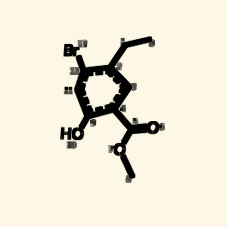 CCc1cc(C(=O)OC)c(O)cc1Br